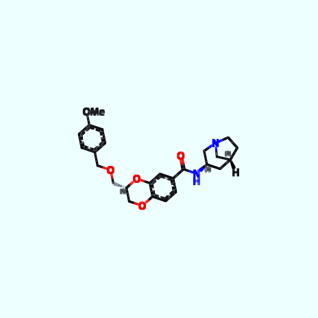 COc1ccc(COC[C@H]2COc3ccc(C(=O)N[C@@H]4C[C@H]5CCN(C5)C4)cc3O2)cc1